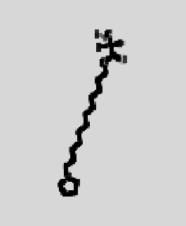 CC(F)(F)C(=O)OCCCCCCCCCCCCN1CCCC1